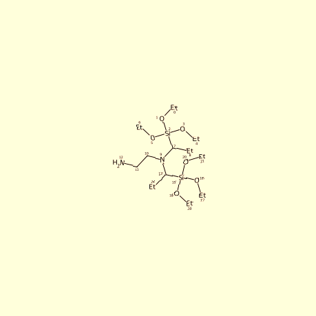 CCO[Si](OCC)(OCC)C(CC)N(CCN)C(CC)[Si](OCC)(OCC)OCC